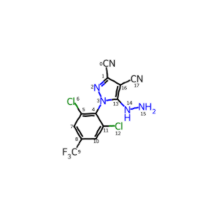 N#Cc1nn(-c2c(Cl)cc(C(F)(F)F)cc2Cl)c(NN)c1C#N